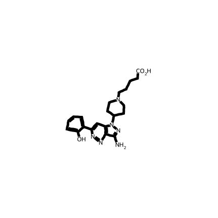 Nc1nn(C2CCN(CCCCC(=O)O)CC2)c2cc(-c3ccccc3O)nnc12